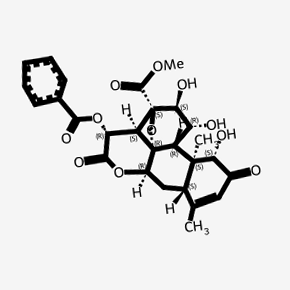 COC(=O)[C@@]12OC[C@]34[C@H]([C@@H](O)[C@@H]1O)[C@@]1(C)[C@H](O)C(=O)C=C(C)[C@@H]1C[C@H]3OC(=O)[C@H](OC(=O)c1ccccc1)[C@@H]24